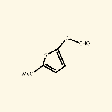 COc1ccc(OC=O)s1